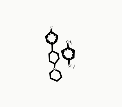 Cc1ccc(S(=O)(=O)O)cc1.Clc1ccc(C2CCC(N3CCCCC3)CC2)cc1